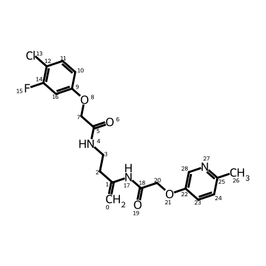 C=C(CCNC(=O)COc1ccc(Cl)c(F)c1)NC(=O)COc1ccc(C)nc1